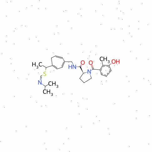 Cc1c(O)cccc1C(=O)N1CCC[C@H]1C(=O)NCC1=CC=C(C(C)S/C=N\C(C)C)CC=C1